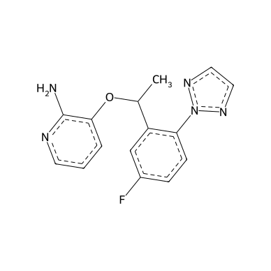 CC(Oc1cccnc1N)c1cc(F)ccc1-n1nccn1